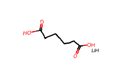 O=C(O)CCCCC(=O)O.[LiH]